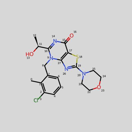 Cc1c(Cl)cccc1Cn1c([C@H](C)O)nc(=O)c2sc(N3CCOCC3)nc21